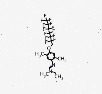 CCN(C)/C=N/c1cc(C)c(OCC(F)(F)C(F)(F)C(F)(F)C(F)(F)C(F)(F)C(F)(F)F)cc1C